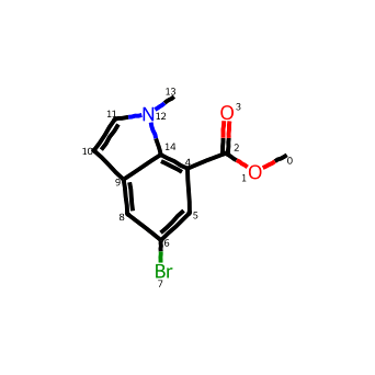 COC(=O)c1cc(Br)cc2ccn(C)c12